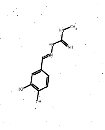 CNC(=N)NN=Cc1ccc(O)c(O)c1